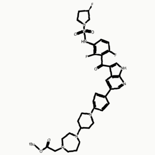 CC(C)(C)OC(=O)CN1CCCN(C2CCN(c3ccc(-c4cnc5[nH]cc(C(=O)c6c(F)ccc(NS(=O)(=O)N7CC[C@@H](F)C7)c6F)c5c4)cc3)CC2)CC1